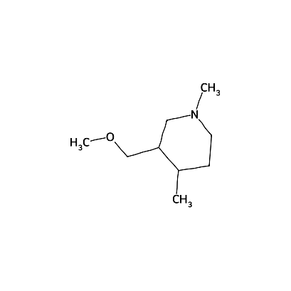 COCC1CN(C)CCC1C